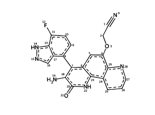 N#CCOc1cc2c(-c3ccc(F)c4[nH]ncc34)c(N)c(=O)[nH]c2c2cccnc12